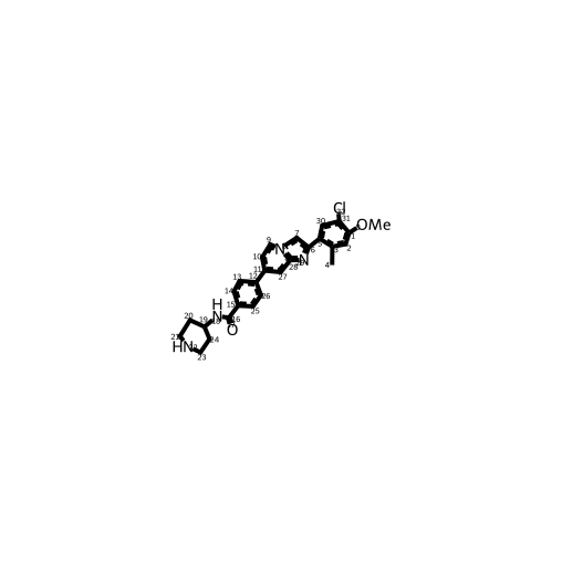 COc1cc(C)c(-c2cn3ccc(-c4ccc(C(=O)NC5CCNCC5)cc4)cc3n2)cc1Cl